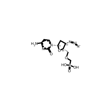 [N-]=[N+]=N[C@H]1C[C@@H](n2ccc(N)nc2=O)O[C@H]1COCP(=O)(O)O